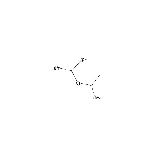 CCCCC(C)OC(C(C)C)C(C)C